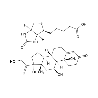 C[C@]12CCC(=O)C=C1CC[C@@H]1[C@@H]2[C@@H](O)C[C@@]2(C)[C@H]1CC[C@]2(O)C(=O)CO.O=C(O)CCCC[C@@H]1SC[C@@H]2NC(=O)N[C@@H]21